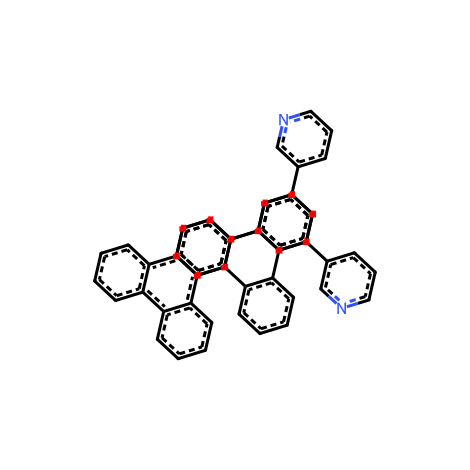 c1cncc(-c2cc(-c3cccnc3)cc(-c3ccccc3-c3ccccc3-c3ccccc3-c3ccc4c5ccccc5c5ccccc5c4c3)c2)c1